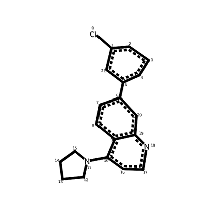 Clc1cccc(-c2ccc3c(N4CCCC4)ccnc3c2)c1